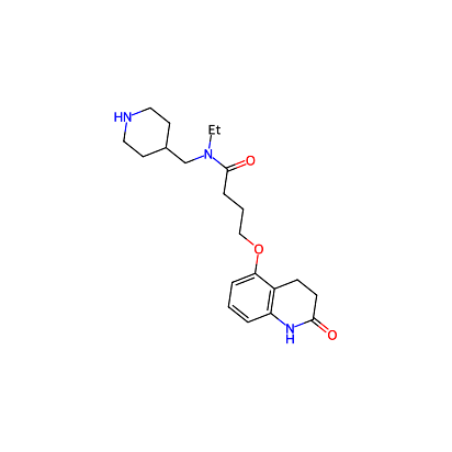 CCN(CC1CCNCC1)C(=O)CCCOc1cccc2c1CCC(=O)N2